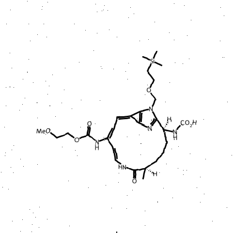 COCCOC(=O)NC1=C\C=C2\c3nc(n(COCC[Si](C)(C)C)c32)[C@@H](NC(=O)O)CCC[C@@H](C)C(=O)N\C=C\1